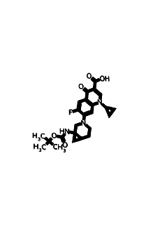 CC(C)(C)OC(=O)NC12CC1CCN(c1cc3c(cc1F)c(=O)c(C(=O)O)cn3C1CC1)C2